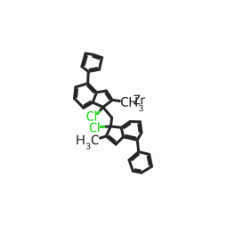 CC1=Cc2c(-c3ccccc3)cccc2C1(Cl)CC1(Cl)C(C)=Cc2c(-c3ccccc3)cccc21.[Zr]